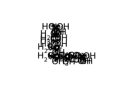 C=C(C)C(=O)O.C=C(C)C(=O)O.C=C(C)C(=O)O.C=Cc1ccccc1O.C=Cc1ccccc1O.C=Cc1ccccc1O.OCC(CO)(CO)CO.OCC(CO)(CO)CO